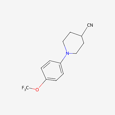 N#CC1CCN(c2ccc(OC(F)(F)F)cc2)CC1